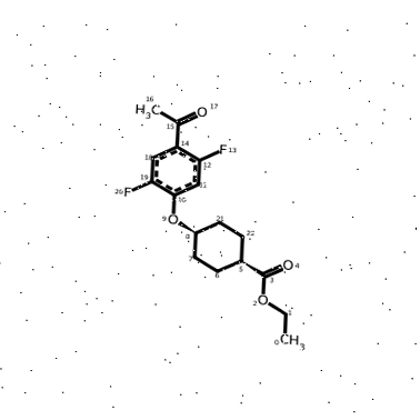 CCOC(=O)[C@H]1CC[C@@H](Oc2cc(F)c(C(C)=O)cc2F)CC1